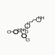 O=C(NC(c1ccc(Cl)cc1)c1ccc(Cl)cc1)N1CCN(CCCC2CCCNC2)CC1